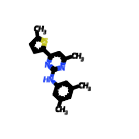 Cc1cc(C)cc(Nc2nc(C)cc(-c3ccc(C)s3)n2)c1